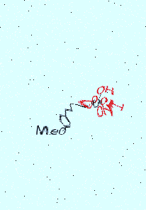 COc1ccc(CCCCO[C@@H]2CC(O)[C@H](O)C(CO)O2)cc1